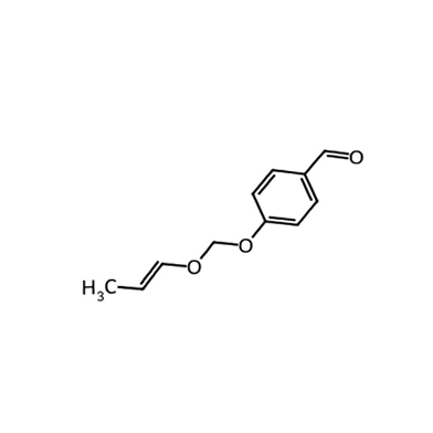 CC=COCOc1ccc(C=O)cc1